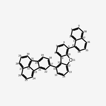 c1ccc2c(-c3cccc4c3oc3cccc(-c5ccc6c(c5)-c5cccc7cccc-6c57)c34)cccc2c1